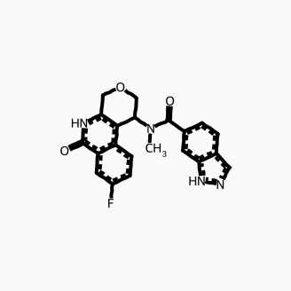 CN(C(=O)c1ccc2cn[nH]c2c1)C1COCc2[nH]c(=O)c3cc(F)ccc3c21